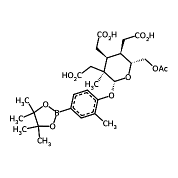 CC(=O)OC[C@@H]1O[C@H](Oc2ccc(B3OC(C)(C)C(C)(C)O3)cc2C)[C@@](C)(CC(=O)O)[C@@H](CC(=O)O)[C@H]1CC(=O)O